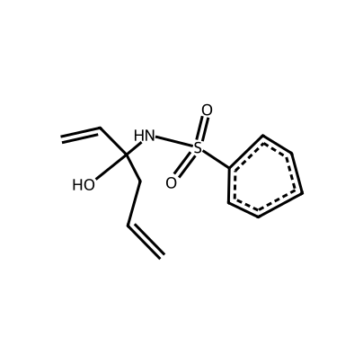 C=CCC(O)(C=C)NS(=O)(=O)c1ccccc1